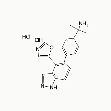 CC(C)(N)c1ccc(-c2ccc3[nH]ncc3c2-c2cnco2)cc1.Cl.Cl